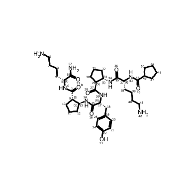 NCCCC[C@@H](NC(=O)[C@H]1CCC[C@@H]1NC(=O)[C@@H](Cc1ccc(O)cc1)NC(=O)[C@H]1CCC[C@@H]1NC(=O)[C@@H](CCCCN)NC(=O)C1CCCC1)C(N)=O